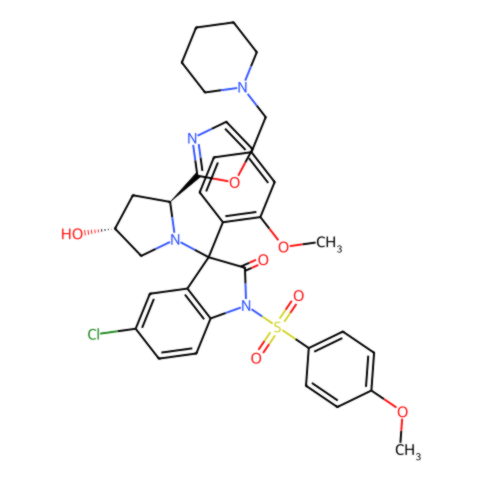 COc1ccc(S(=O)(=O)N2C(=O)C(c3ccc(CN4CCCCC4)cc3OC)(N3C[C@H](O)C[C@H]3c3ncco3)c3cc(Cl)ccc32)cc1